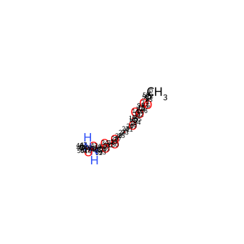 Cc1ccc(C(=O)Oc2ccc(OC(=O)c3ccc(OCCCCCCCCOC(=O)CCC(=O)Oc4ccc(NC(=O)C(=O)Nc5ccccc5)cc4)cc3)cc2)cc1